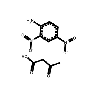 CC(=O)CC(=O)O.Nc1ccc([N+](=O)[O-])cc1[N+](=O)[O-]